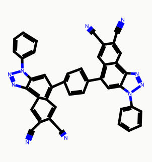 N#Cc1cc2c(-c3ccc(-c4cc5c(nnn5-c5ccccc5)c5cc(C#N)c(C#N)cc45)cc3)cc3c(nnn3-c3ccccc3)c2cc1C#N